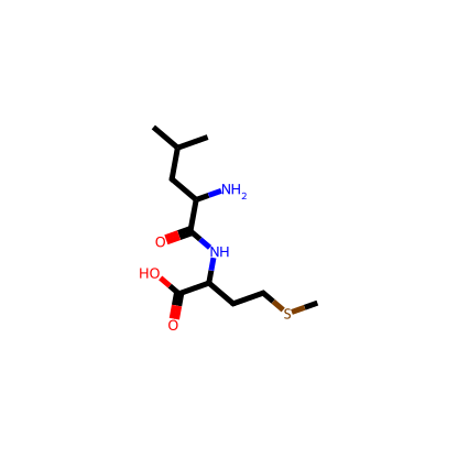 CSCCC(NC(=O)C(N)CC(C)C)C(=O)O